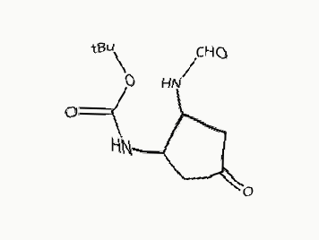 CC(C)(C)OC(=O)NC1CC(=O)CC1NC=O